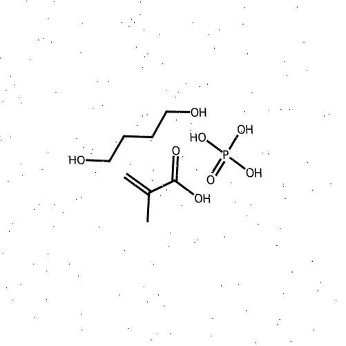 C=C(C)C(=O)O.O=P(O)(O)O.OCCCCO